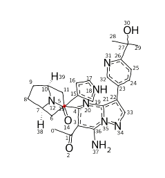 CC(=O)c1c(C2C[C@H]3CC[C@@H](C2)N3C(=O)c2cc[nH]c2)nc2c(-c3ccc(C(C)(C)O)nc3)cnn2c1N